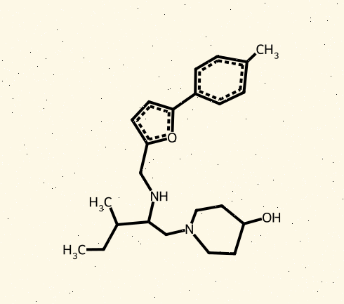 CCC(C)C(CN1CCC(O)CC1)NCc1ccc(-c2ccc(C)cc2)o1